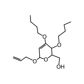 C=CCOC1C=C(OCCCC)C(OCCCC)C(CO)O1